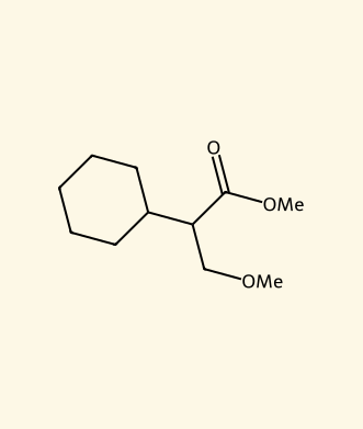 COCC(C(=O)OC)C1CCCCC1